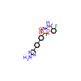 C[C@H](NC1=NS(=O)(=O)C(c2ccc(-c3ccc(-c4cnc(N)nc4)cc3)cc2)C(C)(C)O1)c1ccccc1F